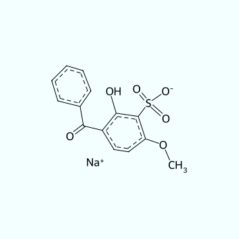 COc1ccc(C(=O)c2ccccc2)c(O)c1S(=O)(=O)[O-].[Na+]